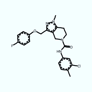 Cc1ccc(NC(=O)N2CCc3c(c(COc4ccc(F)cc4)nn3C)C2)cc1Cl